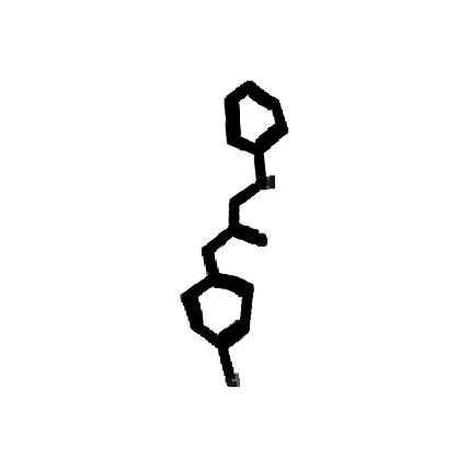 O=C(CNc1ccccc1)Cc1ccc(Cl)cc1